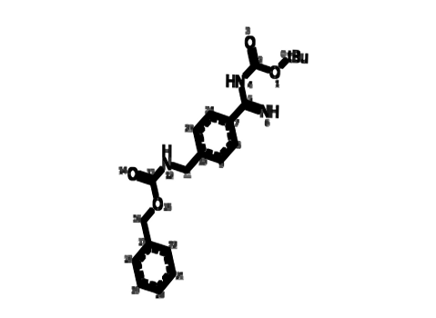 CC(C)(C)OC(=O)NC(=N)c1ccc(CNC(=O)OCc2ccccc2)cc1